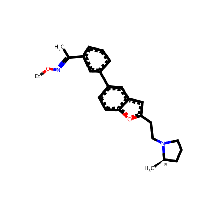 CCON=C(C)c1cccc(-c2ccc3oc(CCN4CCC[C@H]4C)cc3c2)c1